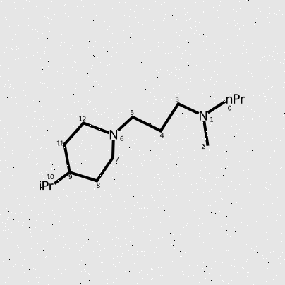 CCCN(C)CCCN1CCC(C(C)C)CC1